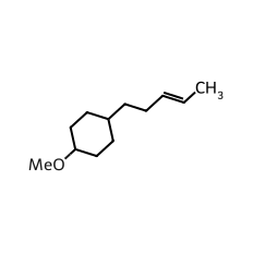 C/C=C/CCC1CCC(OC)CC1